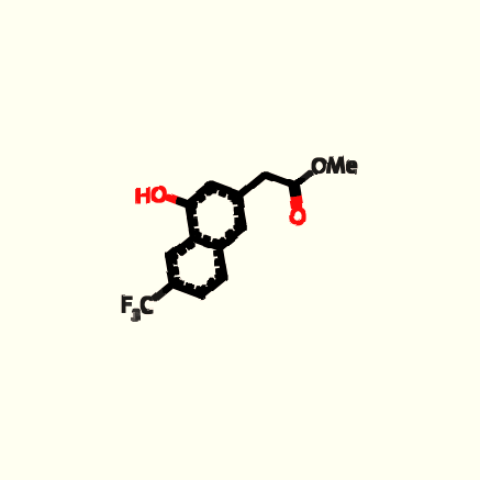 COC(=O)Cc1cc(O)c2cc(C(F)(F)F)ccc2c1